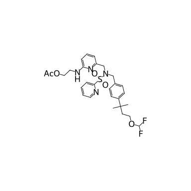 CC(=O)OCCNc1cccc(CN(Cc2ccc(C(C)(C)CCOC(F)F)cc2)S(=O)(=O)c2ccccn2)n1